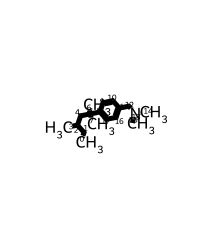 CCC(C)CC(C)(C)c1ccc(CN(C)C)cc1